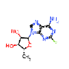 C[C@H]1OC(n2cnc3c(N)nc(F)nc32)[C@H](O)[C@@H]1O